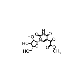 COC(=O)C(=O)c1cn([C@@H]2O[C@H](CO)[C@@H](O)[C@H]2O)c(=O)[nH]c1=O